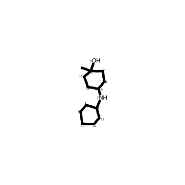 CC1(O)CCC(NC2CCCCC2)CC1